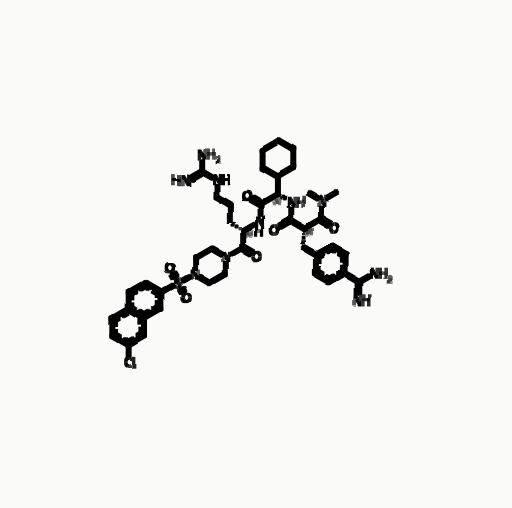 CN(C)C(=O)[C@H](Cc1ccc(C(=N)N)cc1)C(=O)N[C@H](C(=O)N[C@@H](CCCNC(=N)N)C(=O)N1CCN(S(=O)(=O)c2ccc3ccc(Cl)cc3c2)CC1)C1CCCCC1